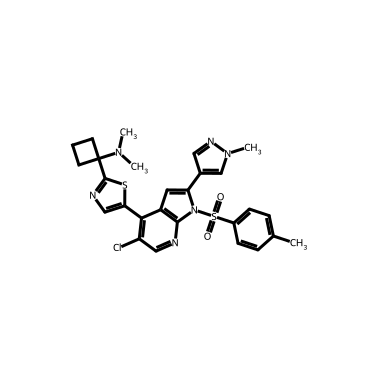 Cc1ccc(S(=O)(=O)n2c(-c3cnn(C)c3)cc3c(-c4cnc(C5(N(C)C)CCC5)s4)c(Cl)cnc32)cc1